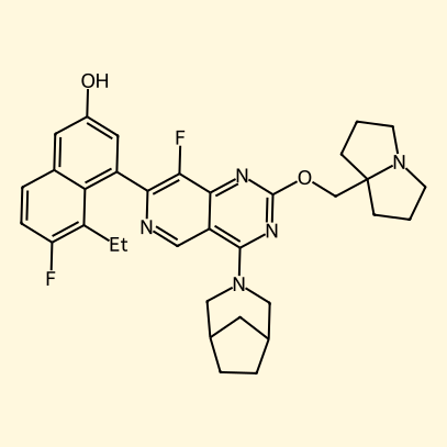 CCc1c(F)ccc2cc(O)cc(-c3ncc4c(N5CC6CCC(C6)C5)nc(OCC56CCCN5CCC6)nc4c3F)c12